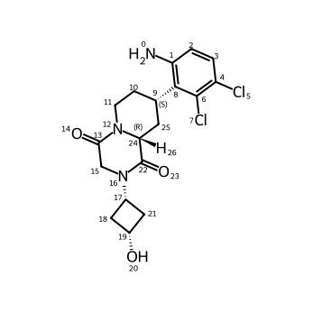 Nc1ccc(Cl)c(Cl)c1[C@H]1CCN2C(=O)CN([C@H]3C[C@@H](O)C3)C(=O)[C@H]2C1